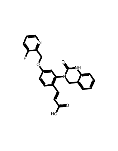 O=C(O)C=Cc1ccc(OCc2ncccc2F)cc1N1Cc2ccccc2NC1=O